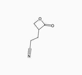 N#CCCC1COC1=O